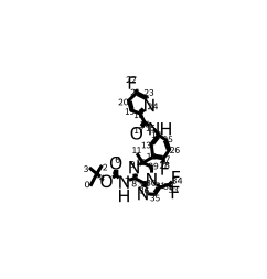 CC(C)(C)OC(=O)NC1=NC(C)(c2cc(NC(=O)c3ccc(F)cn3)ccc2F)Cn2c(C(F)F)cnc21